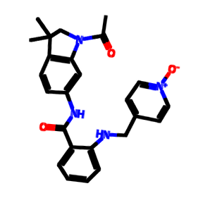 CC(=O)N1CC(C)(C)c2ccc(NC(=O)c3ccccc3NCc3cc[n+]([O-])cc3)cc21